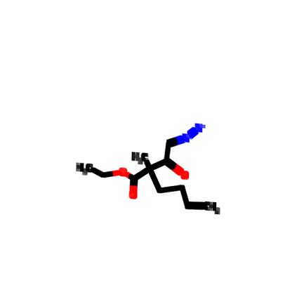 C=CCCC(C)(C(=O)C=[N+]=[N-])C(=O)OCC